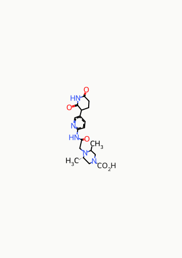 CC1CN(C(=O)O)C[C@H](C)N1CC(=O)Nc1ccc(C2CCC(=O)NC2=O)cn1